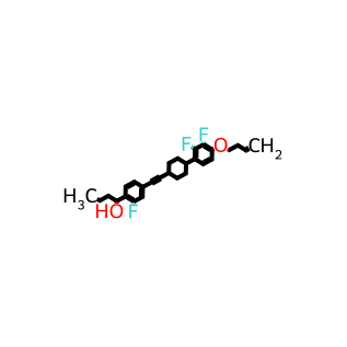 C=CCCOc1ccc(C2CCC(C#Cc3ccc(C(O)CCC)c(F)c3)CC2)c(F)c1F